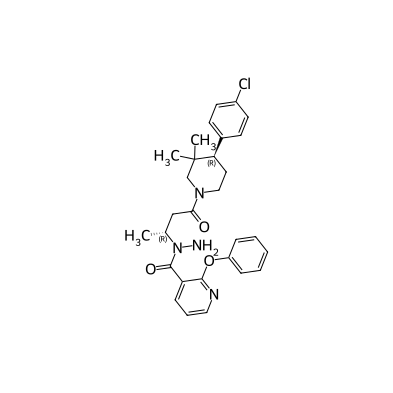 C[C@H](CC(=O)N1CC[C@H](c2ccc(Cl)cc2)C(C)(C)C1)N(N)C(=O)c1cccnc1Oc1ccccc1